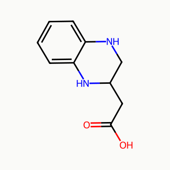 O=C(O)CC1CNc2ccccc2N1